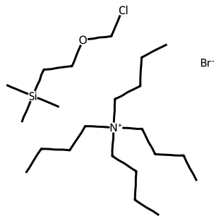 CCCC[N+](CCCC)(CCCC)CCCC.C[Si](C)(C)CCOCCl.[Br-]